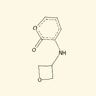 O=c1occcc1NC1COC1